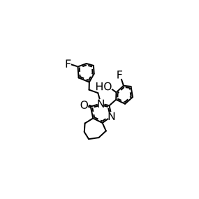 O=c1c2c(nc(-c3cccc(F)c3O)n1CCc1cccc(F)c1)CCCCC2